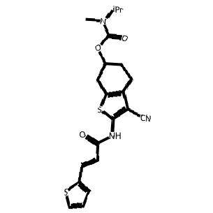 CC(C)N(C)C(=O)OC1CCc2c(sc(NC(=O)C=Cc3cccs3)c2C#N)C1